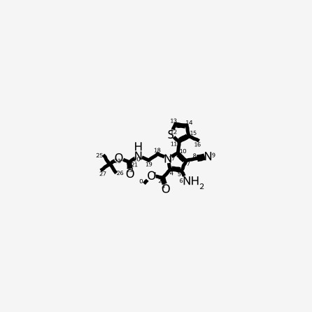 COC(=O)c1c(N)c(C#N)c(-c2sccc2C)n1CCNC(=O)OC(C)(C)C